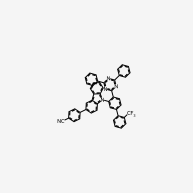 N#Cc1ccc(-c2ccc3c(c2)c2ccccc2n3-c2cc(-c3ccccc3C(F)(F)F)ccc2-c2nc(-c3ccccc3)nc(-c3ccccc3)n2)cc1